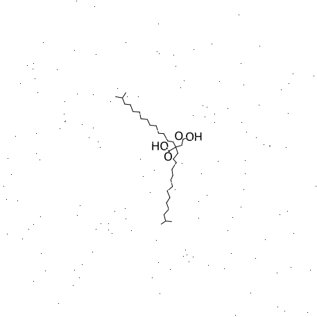 CC(C)CCCCCCCCCCCCC(CCCCCCCCCCCCC(C)C)(CC(=O)O)C(=O)O